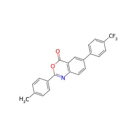 Cc1ccc(-c2nc3ccc(-c4ccc(C(F)(F)F)cc4)cc3c(=O)o2)cc1